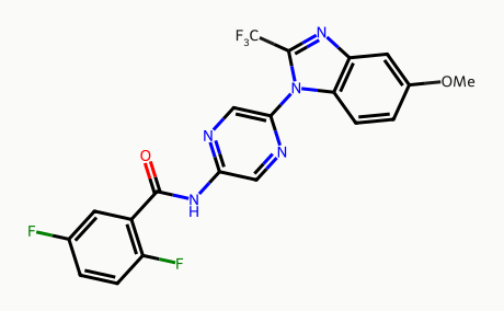 COc1ccc2c(c1)nc(C(F)(F)F)n2-c1cnc(NC(=O)c2cc(F)ccc2F)cn1